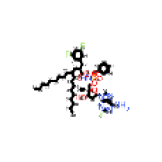 C#C[C@]1(CO[P@@](=O)(NOC(=O)C(Cc2cc(F)cc(F)c2)CC(CCCCCCCCC)CCCCCCCCC)Oc2ccccc2)O[C@@H](n2cnc3c(N)nc(F)nc32)C[C@@H]1O